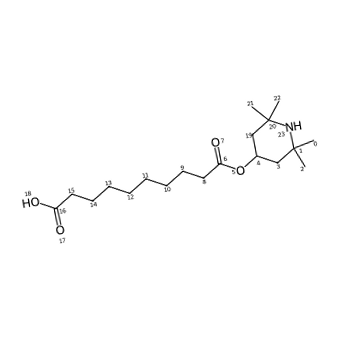 CC1(C)CC(OC(=O)CCCCCCCCC(=O)O)CC(C)(C)N1